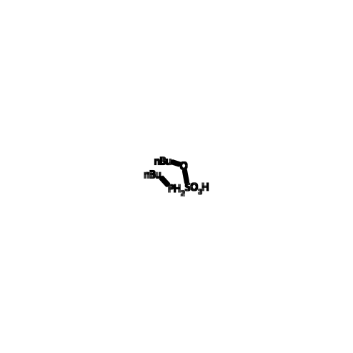 CCCCOS(=O)(=O)O.CCCCP